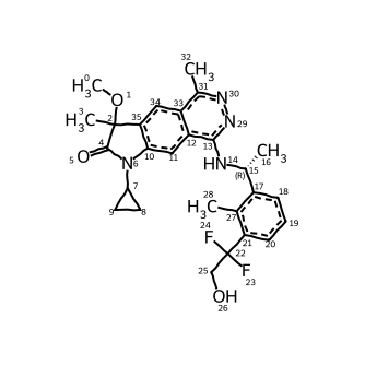 COC1(C)C(=O)N(C2CC2)c2cc3c(N[C@H](C)c4cccc(C(F)(F)CO)c4C)nnc(C)c3cc21